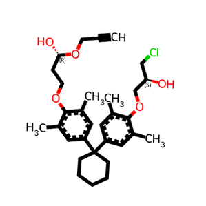 C#CCO[C@@H](O)CCOc1c(C)cc(C2(c3cc(C)c(OC[C@H](O)CCl)c(C)c3)CCCCC2)cc1C